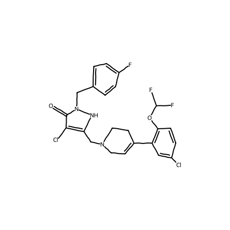 O=c1c(Cl)c(CN2CC=C(c3cc(Cl)ccc3OC(F)F)CC2)[nH]n1Cc1ccc(F)cc1